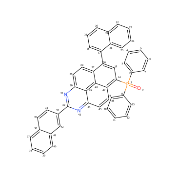 O=P(c1ccccc1)(c1ccccc1)c1cc(-c2cccc3ccccc23)c2ccc3nc(-c4ccc5ccccc5c4)nc4ccc1c2c34